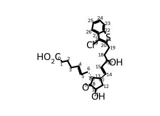 O=C(O)CCCC=CC[C@H]1C(=O)C(O)C[C@@H]1C=CC(O)CCc1sc2ccccc2c1Cl